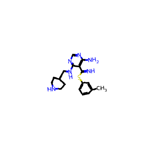 Cc1cccc(SC(=N)c2c(N)ncnc2NCC2CCNCC2)c1